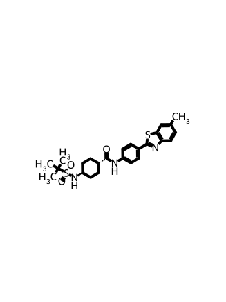 Cc1ccc2nc(-c3ccc(NC(=O)[C@H]4CC[C@H](NS(=O)(=O)C(C)(C)C)CC4)cc3)sc2c1